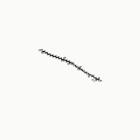 N[C@@H](CCCCNC(=O)COCCOCCNC(=O)COCCOCCNC(=O)CCCNC(=O)CCCCCCCCCCCCCCC(=O)O)C(=O)O